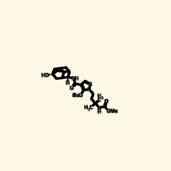 COC(=O)NC(C)(C)CCn1ncc(C(=O)N[C@H]2C3CC4CC2C[C@](O)(C4)C3)c1OCC(C)C